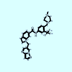 CN1CCN(Cc2ccc(NC(=O)c3ccc4c(c3)N(Cc3cnc5ccnn5c3)CC4)cc2C(F)(F)F)CC1